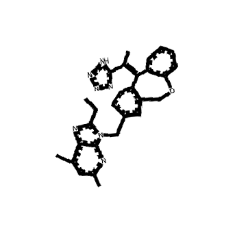 CCc1nc2c(C)cc(C)nc2n1Cc1ccc2c(c1)COc1ccccc1C2=C(C)c1nnn[nH]1